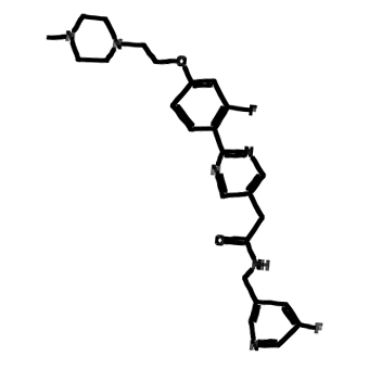 CN1CCN(CCOc2ccc(-c3ncc(CC(=O)NCc4cncc(F)c4)cn3)c(F)c2)CC1